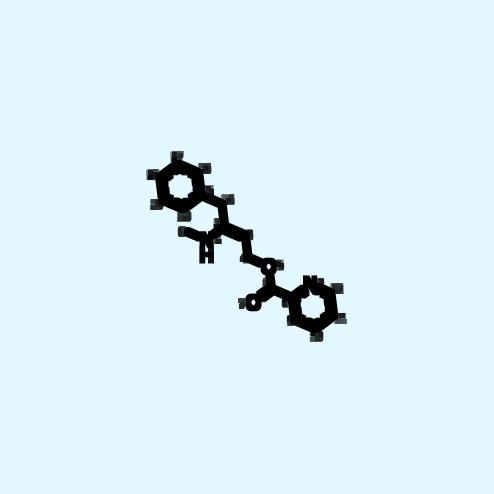 CN/C(=C\COC(=O)c1ccccn1)Cc1ccccc1